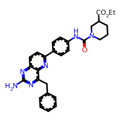 CCOC(=O)C1CCCN(C(=O)Nc2ccc(-c3ccc4nc(N)nc(Cc5ccccc5)c4n3)cc2)C1